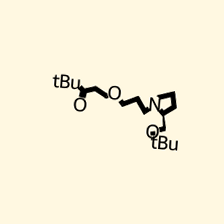 CC(C)(C)OC[C@@H]1CCCN1CCCOCCC(=O)C(C)(C)C